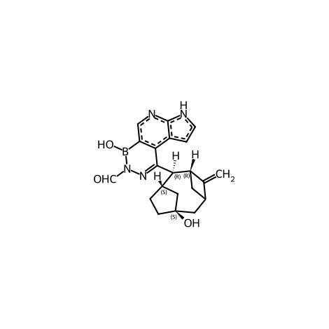 C=C1C2C[C@@H]1[C@H](C1=NN(C=O)B(O)c3cnc4[nH]ccc4c31)[C@H]1CC[C@@](O)(C2)C1